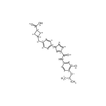 CC(C)Oc1ccc(NC(=O)c2cn(-c3ccc(CN4CC(C(=O)O)C4)cc3)nn2)cc1Cl